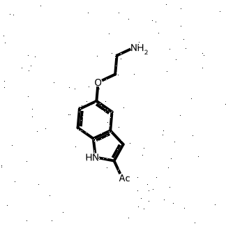 CC(=O)c1cc2cc(OCCN)ccc2[nH]1